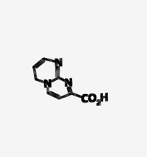 O=C(O)C1=NC2=NC=CCN2C=C1